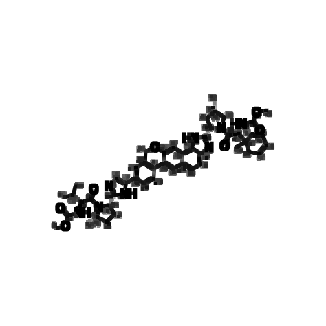 COC(=O)N[C@H](C(=O)N1[C@@H](C)CC[C@H]1c1ncc(-c2ccc3c(c2)COc2cc4c(ccc5nc([C@@H]6C[C@H](C)CN6C(=O)[C@H](NC(=O)OC)C6(C)C=CC=CC6)[nH]c54)cc2-3)[nH]1)C(C)C